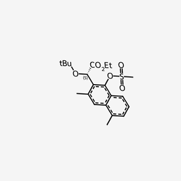 CCOC(=O)[C@@H](OC(C)(C)C)c1c(C)cc2c(C)cccc2c1OS(C)(=O)=O